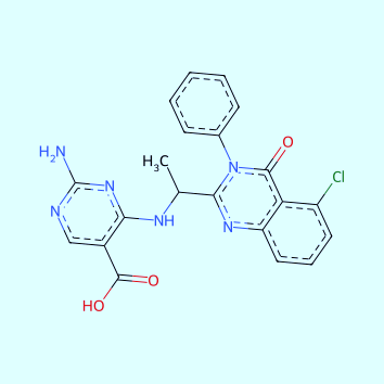 CC(Nc1nc(N)ncc1C(=O)O)c1nc2cccc(Cl)c2c(=O)n1-c1ccccc1